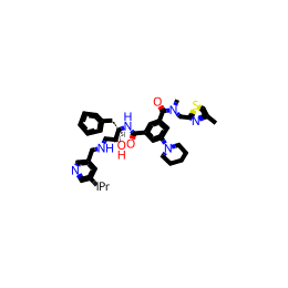 Cc1csc(CN(C)C(=O)c2cc(C(=O)N[C@@H](Cc3ccccc3)[C@H](O)CNCc3cncc(C(C)C)c3)cc(N3CCCCC3)c2)n1